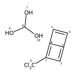 ClC(Cl)(Cl)c1cc2ccc1-2.OC(O)O